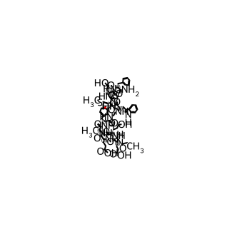 CCC(=O)N[C@@H](CCC(=O)O)C(=O)N[C@@H](CCC(=O)O)C(=O)N[C@@H](CCC(=O)O)C(=O)N[C@@H](C)C(=O)N[C@@H](Cc1ccc(O)cc1)C(=O)NCC(=O)N[C@@H](Cc1c[nH]c2ccccc12)C(=O)N[C@@H](CCSC)C(=O)N[C@@H](CC(=O)O)C(=O)N[C@@H](Cc1ccccc1)C(N)=O